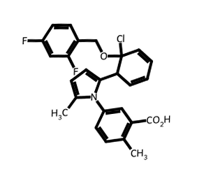 Cc1ccc(-n2c(C)ccc2C2C=CC=CC2(Cl)OCc2ccc(F)cc2F)cc1C(=O)O